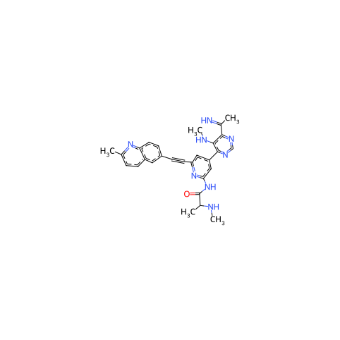 CNc1c(C(C)=N)ncnc1-c1cc(C#Cc2ccc3nc(C)ccc3c2)nc(NC(=O)C(C)NC)c1